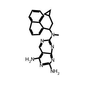 CN(c1ncc2c(N)nc(N)nc2n1)C(CC1CC1)c1cccc2ccccc12